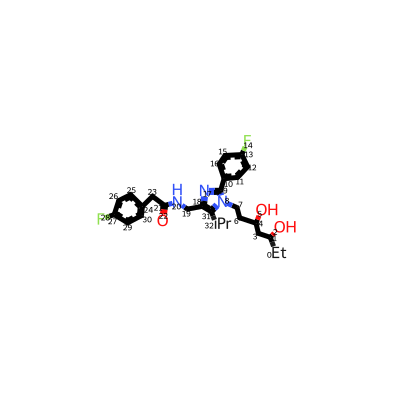 [CH2]CC(O)CC(O)CCn1c(-c2ccc(F)cc2)nc(CNC(=O)Cc2ccc(F)cc2)c1C(C)C